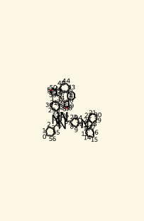 c1ccc(-c2nc(-c3ccc(-n4c5ccccc5c5ccccc54)cc3)nc(-c3ccc4c(c3)C3(c5ccccc5Oc5ccccc53)c3ccccc3-4)n2)cc1